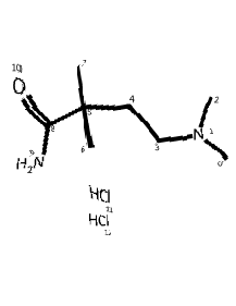 CN(C)CCC(C)(C)C(N)=O.Cl.Cl